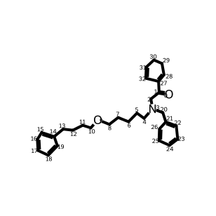 O=C(CN(CCCCCOCCCCc1ccccc1)Cc1ccccc1)C1=CCCC=C1